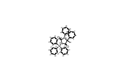 CC1(c2ccccc2)C(=O)N([Si](c2ccccc2)(c2ccccc2)c2ccccc2)C(=O)N1c1ccccc1